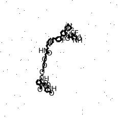 C[C@@H]1CN(c2ccc(-c3cc(CN4CCN(CCNC(=O)CCOCCOCCOCCNc5cccc6c5C(=O)N(C5CCC(=O)NC5=O)C6=O)CC4)ccc3F)cc2NC(=O)c2c[nH]c(=O)cc2C(F)(F)F)C[C@H](C)N1C